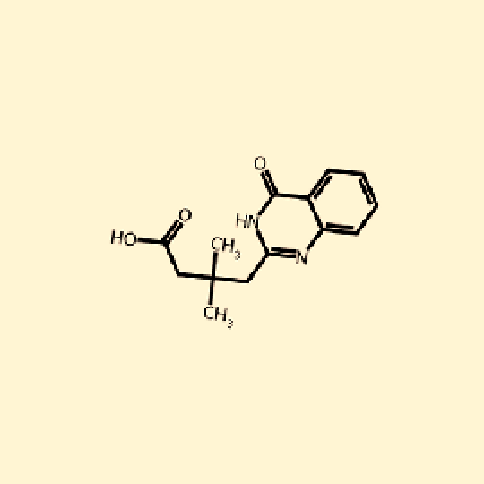 CC(C)(CC(=O)O)Cc1nc2ccccc2c(=O)[nH]1